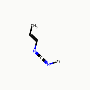 CC=CN=C=NCC